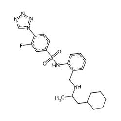 CC(CC1CCCCC1)NCc1ccccc1NS(=O)(=O)c1ccc(-n2cnnn2)c(F)c1